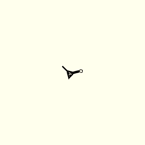 Cc1cc1=O